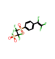 O=S(=O)(F)C(F)(F)C(F)(F)S(=O)(=O)c1ccc(C(F)=C(F)F)cc1